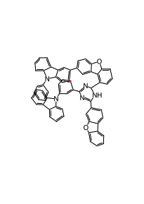 c1ccc(-n2c3ccccc3c3cc(-c4ccc5oc6cccc(C7N=C(c8cccc(-n9c%10ccccc%10c%10ccccc%109)c8)N=C(c8ccc9c(c8)oc8ccccc89)N7)c6c5c4)ccc32)cc1